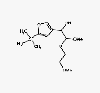 COCCOC(OC)C(O)c1coc([Si](C)(C)C)c1